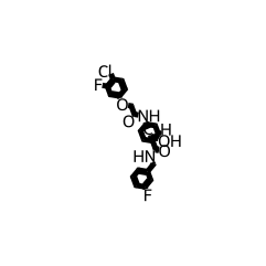 O=C(COc1ccc(Cl)c(F)c1)NC12CCC(C(=O)NCc3cccc(F)c3)(CC1)[C@@H](O)C2